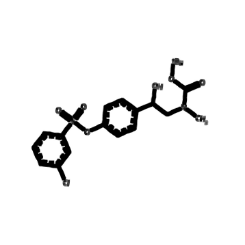 CN(CC(O)c1ccc(OS(=O)(=O)c2cccc(Cl)c2)cc1)C(=O)OC(C)(C)C